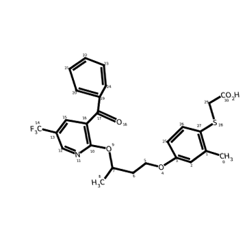 Cc1cc(OCCC(C)Oc2ncc(C(F)(F)F)cc2C(=O)c2ccccc2)ccc1SCC(=O)O